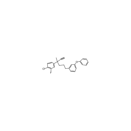 C#CC(C)(CCCc1cccc(Oc2ccccc2)c1)c1ccc(Cl)c(F)c1